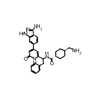 NC[C@H]1CC[C@H](C(=O)NC(Cc2ccccc2)c2cc(-c3ccc4c(N)n[nH]c4c3)cc(=O)[nH]2)CC1